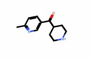 Cc1ccc(C(=O)C2CCNCC2)cn1